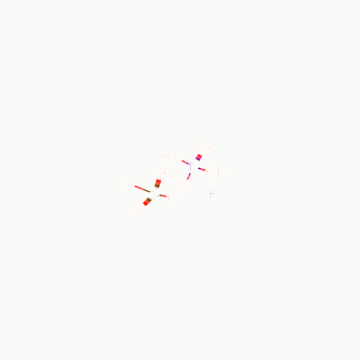 O=P(O)(O)O.O=S(=O)([O-])[O-].[Ba+2]